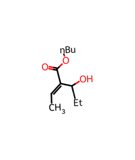 CC=C(C(=O)OCCCC)C(O)CC